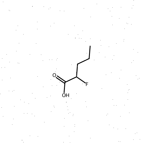 CCCC(F)C(=O)O